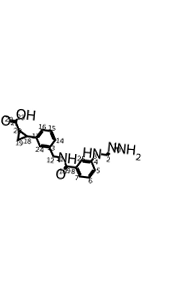 NN=CNc1cccc(C(=O)NCc2cccc(C3CC3C(=O)O)c2)c1